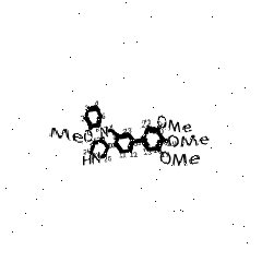 COc1ccccc1N(Cc1cccc(-c2cc(OC)c(OC)c(OC)c2)c1)C1CCNCC1